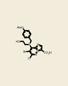 CCOC(=O)c1cnc2c(N(CCO)Cc3ccc(OC)cc3)c(Br)c(Cl)nn12